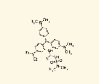 CCN(CC)c1ccc(C(c2ccc(N(C)C)cc2)c2ccc(N(C)C)cc2)c(NC(=S)NS(=O)(=O)N(C)C)c1